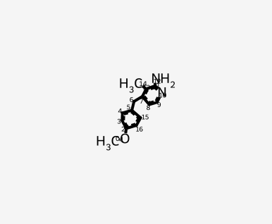 COc1ccc(Cc2ccnc(N)c2C)cc1